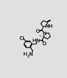 C=C1CC[C@H](C(=O)N2CCC[C@@]2(C)C(=O)NCc2cc(Cl)ccc2CN)N1